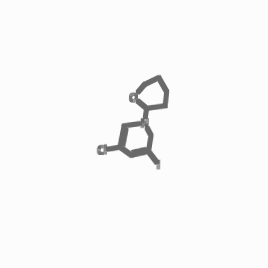 ClC1=CN(C2CCCCO2)CC(I)=C1